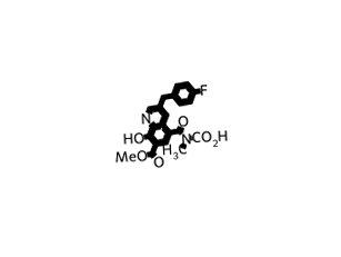 COC(=O)c1cc(C(=O)N(C)C(=O)O)c2cc(Cc3ccc(F)cc3)cnc2c1O